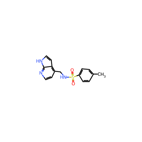 Cc1ccc(S(=O)(=O)NCc2ccnc3[nH]ccc23)cc1